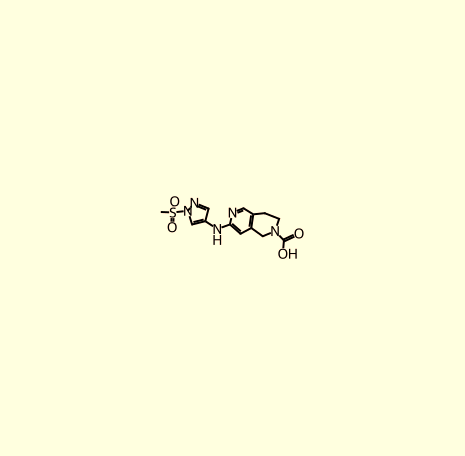 CS(=O)(=O)n1cc(Nc2cc3c(cn2)CCN(C(=O)O)C3)cn1